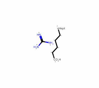 CCCCCCCCCCCC(=O)O.N=C(N)N